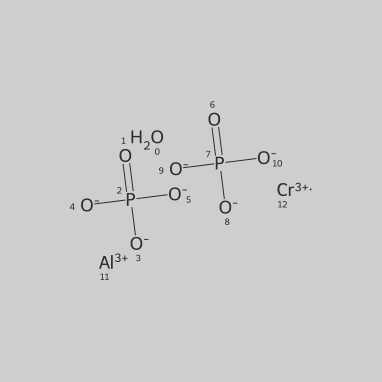 O.O=P([O-])([O-])[O-].O=P([O-])([O-])[O-].[Al+3].[Cr+3]